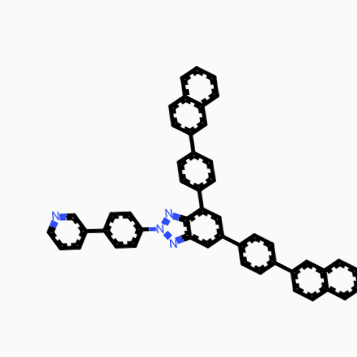 c1cncc(-c2ccc(-n3nc4cc(-c5ccc(-c6ccc7ccccc7c6)cc5)cc(-c5ccc(-c6ccc7ccccc7c6)cc5)c4n3)cc2)c1